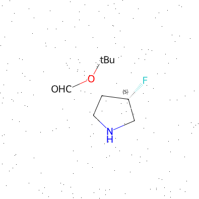 CC(C)(C)OC=O.F[C@H]1CCNC1